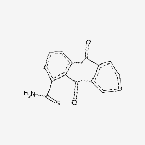 NC(=S)c1cccc2c1C(=O)c1ccccc1C2=O